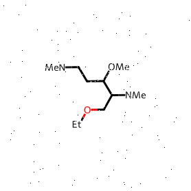 CCOCC(NC)C(CCNC)OC